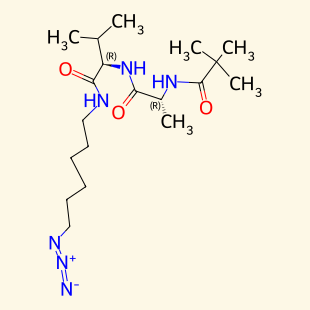 CC(C)[C@@H](NC(=O)[C@@H](C)NC(=O)C(C)(C)C)C(=O)NCCCCCCN=[N+]=[N-]